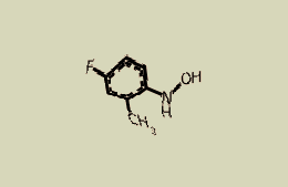 Cc1cc(F)ccc1NO